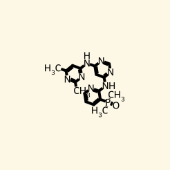 Cc1cc(Nc2cc(Nc3ncccc3P(C)(C)=O)ncn2)nc(C)n1